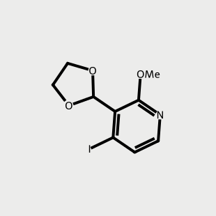 COc1nccc(I)c1C1OCCO1